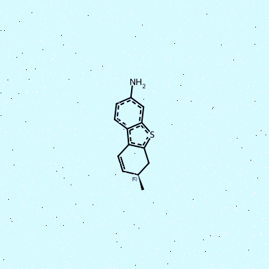 C[C@H]1C=Cc2c(sc3cc(N)ccc23)C1